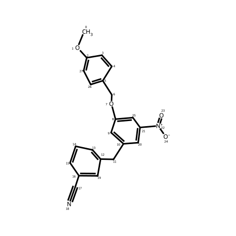 COc1ccc(COc2cc(Cc3cccc(C#N)c3)cc([N+](=O)[O-])c2)cc1